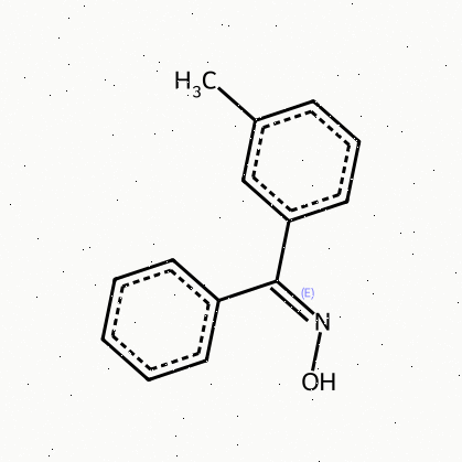 Cc1cccc(/C(=N/O)c2ccccc2)c1